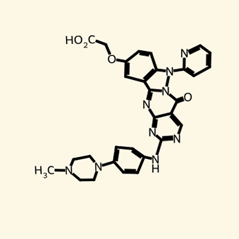 CN1CCN(c2ccc(Nc3ncc4c(=O)n5c(nc4n3)c3cc(OCC(=O)O)ccc3n5-c3ccccn3)cc2)CC1